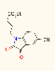 CCOC(=O)CCCN1C(=O)C(=O)c2cc(C#N)ccc21